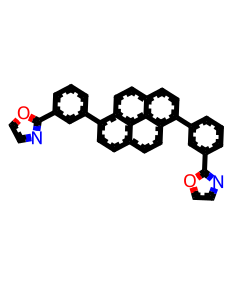 c1cc(-c2ncco2)cc(-c2ccc3ccc4c(-c5cccc(-c6ncco6)c5)ccc5ccc2c3c54)c1